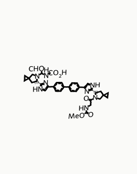 COC(=O)NCC(=O)N1CC2(CC2)C[C@H]1c1nc(-c2ccc(-c3ccc(-c4c[nH]c([C@@H]5CC6(CC6)CN5C(C=O)NC(=O)O)n4)cc3)cc2)c[nH]1